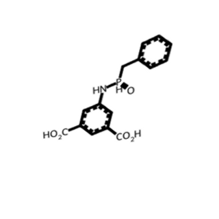 O=C(O)c1cc(N[PH](=O)Cc2ccccc2)cc(C(=O)O)c1